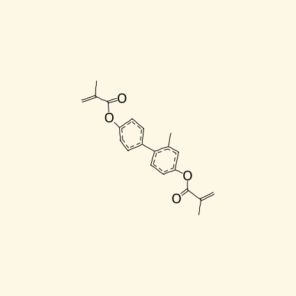 C=C(C)C(=O)Oc1ccc(-c2ccc(OC(=O)C(=C)C)cc2C)cc1